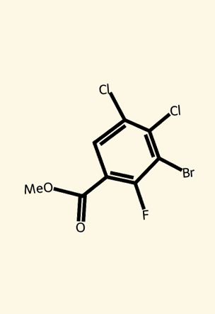 COC(=O)c1cc(Cl)c(Cl)c(Br)c1F